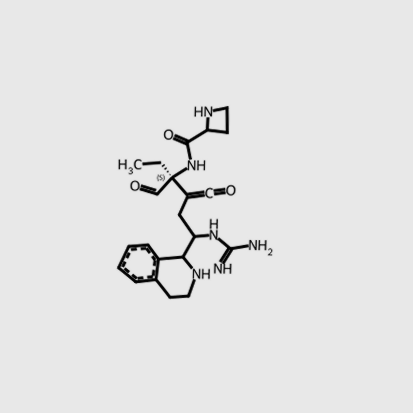 CC[C@](C=O)(NC(=O)C1CCN1)C(=C=O)CC(NC(=N)N)C1NCCc2ccccc21